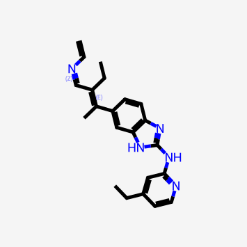 C=C/N=C\C(CC)=C(/C)c1ccc2nc(Nc3cc(CC)ccn3)[nH]c2c1